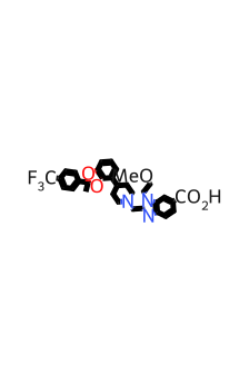 COCCn1c(CN2CCC(c3cccc4c3OC(C)(c3ccc(C(F)(F)F)cc3)O4)CC2)nc2ccc(C(=O)O)cc21